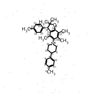 Cc1ccc(C2CCN(c3c(C)c(C)c4c(c3C)[C@@H](c3ccc(C)cc3)C(C)(C)O4)CC2)cc1